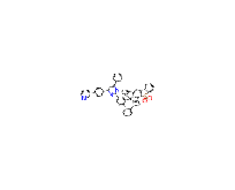 O=S1(=O)c2ccccc2-c2cc3c(cc21)C1(c2ccccc2-c2ccccc2-c2ccc(-c4nc(-c5ccccc5)cc(-c5ccc(-c6cccnc6)cc5)n4)cc21)c1ccccc1-3